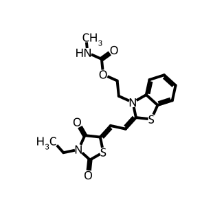 CCN1C(=O)SC(=CC=C2Sc3ccccc3N2CCOC(=O)NC)C1=O